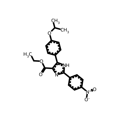 CCOC(=O)c1nc(-c2ccc([N+](=O)[O-])cc2)[nH]c1-c1ccc(OC(C)C)cc1